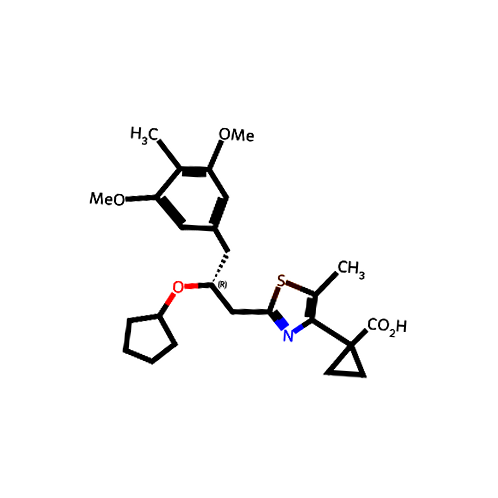 COc1cc(C[C@H](Cc2nc(C3(C(=O)O)CC3)c(C)s2)OC2CCCC2)cc(OC)c1C